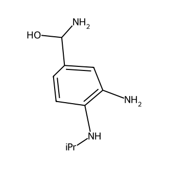 CC(C)Nc1ccc(C(N)O)cc1N